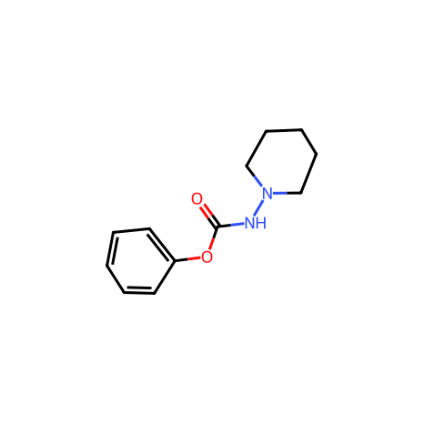 O=C(NN1CCCCC1)Oc1ccccc1